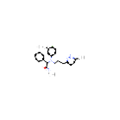 CNC(=O)C(c1ccccc1)N(CCCc1ccc(C)nn1)c1ccc(F)c(C)c1